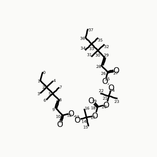 CCC(C)(C)C(C)(C)/C=C/C(=O)OOC(C)(C)OC(=O)OC(C)(C)OOC(=O)/C=C/C(C)(C)C(C)(C)CC